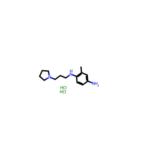 Cc1cc(N)ccc1NCCCN1CCCC1.Cl.Cl